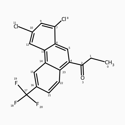 CCC(=O)c1cc2c(Cl)cc(Cl)cc2c2cc(C(F)(F)F)ccc12